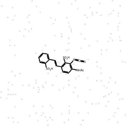 CC(=O)Nc1ccc(C=Cc2ccccc2S(=O)(=O)O)c(S(=O)(=O)O)c1N=C=S